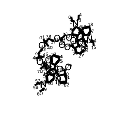 CCN(CC)c1ccc(C2(c3c(C)n(CC)c4ccccc34)OC(=O)c3cccnc32)c(OCC(=O)OCCC(C)(C)OCCC(C)(C)OC(=O)COc2cc(N(CC)CC)ccc2C2(c3c(C)n(CC)c4ccccc34)OC(=O)c3cccnc32)c1